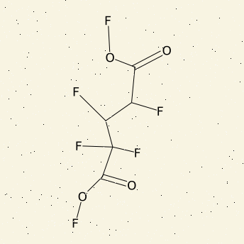 O=C(OF)C(F)C(F)C(F)(F)C(=O)OF